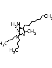 CCCCCCCCc1c(C)nc(N(CCCC)CCCC)nc1N